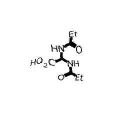 CCC(=O)NC(NC(=O)CC)C(=O)O